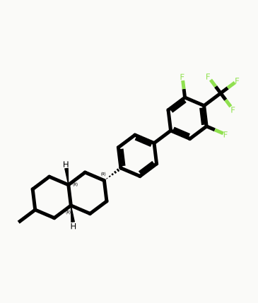 CC1CC[C@@H]2C[C@H](c3ccc(-c4cc(F)c(C(F)(F)F)c(F)c4)cc3)CC[C@@H]2C1